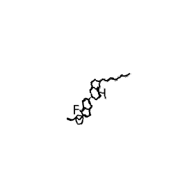 C=CCOc1ccc2cc([C@@H]3CC[C@@H]4CC(CCCCCCC)CCC4C3)ccc2c1F